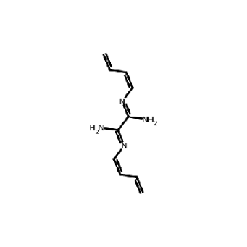 C=C\C=C/N=C(N)/C(N)=N/C=C\C=C